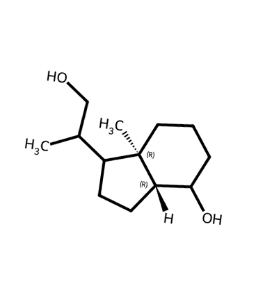 CC(CO)C1CC[C@H]2C(O)CCC[C@]12C